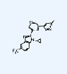 Cn1cc(-c2cncc(-c3nc4cc(C(F)(F)F)ccc4n3C3CC3)c2)cn1